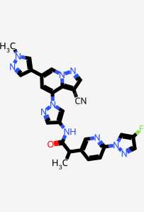 CC(C(=O)Nc1cnn(-c2cc(-c3cnn(C)c3)cn3ncc(C#N)c23)c1)c1ccc(-n2cc(F)cn2)nc1